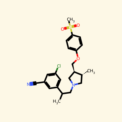 CC(CN1C[C@@H](COc2ccc(S(C)(=O)=O)cc2)[C@H](C)C1)c1cc(Cl)cc(C#N)c1